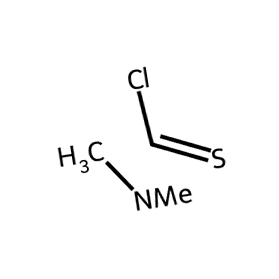 CNC.S=CCl